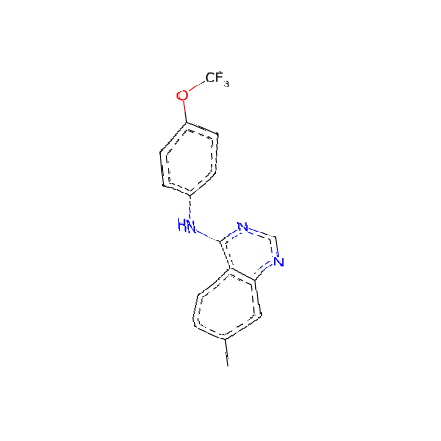 Cc1ccc2c(Nc3ccc(OC(F)(F)F)cc3)ncnc2c1